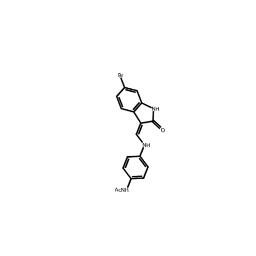 CC(=O)Nc1ccc(N/C=C2\C(=O)Nc3cc(Br)ccc32)cc1